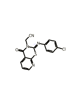 N#CCn1c(=O)c2cccnc2s/c1=N\c1ccc(Cl)cc1